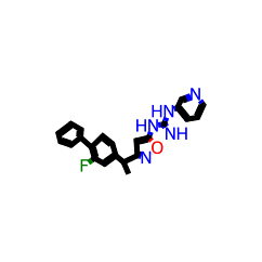 CC(c1ccc(-c2ccccc2)c(F)c1)c1cc(NC(=N)Nc2cccnc2)on1